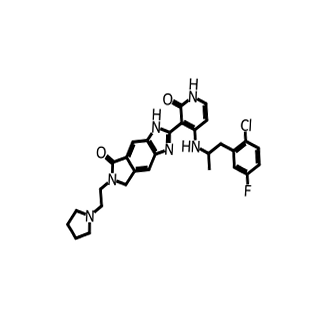 CC(Cc1cc(F)ccc1Cl)Nc1cc[nH]c(=O)c1-c1nc2cc3c(cc2[nH]1)C(=O)N(CCN1CCCC1)C3